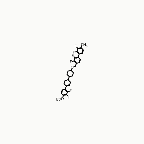 CCOc1ccc(C2=CCC(C3CCC(OCc4ccc(-c5ccc(C)c(F)c5F)c(F)c4F)CC3)CC2)c(F)c1F